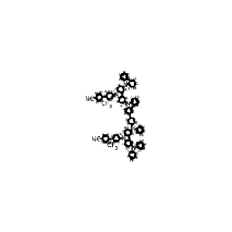 N#Cc1ccc(-c2ccc(-n3c4ccc(N(c5ccccc5)c5ccccc5)cc4c4cc(N(c5ccccc5)c5ccc(-c6ccc7c(c6)c6ccccc6n7-c6ccc7c(c6)c6cc(-n8c9ccccc9c9ccccc98)ccc6n7-c6ccc(-c7ccc(C#N)cc7C(F)(F)F)cc6)cc5)ccc43)cc2)c(C(F)(F)F)c1